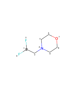 FB(F)CN1CCOCC1